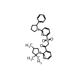 CC1CN(c2ncccc2C(=O)CS(=O)(=O)c2cccc(N3CCCC3c3ccccc3)n2)C(C)(C)C1